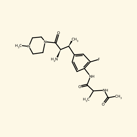 CC(=O)NC(C)C(=O)Nc1ccc([C@H](C)[C@@H](N)C(=O)N2CCN(C)CC2)cc1F